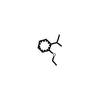 CCOc1ccccc1[C](C)C